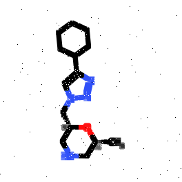 C[C@@H]1CNC[C@H](Cn2cc(C3CCCCC3)nn2)O1